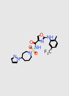 Cc1ccc(C(F)(F)F)cc1Nc1nc(C(=O)NS(=O)(=O)N2CCCC(n3cccn3)CC2)co1